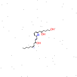 CCCCC/C=C\C[C@@H](O)/C=C/c1cccc(C[C@@H](O)CCCCO)n1